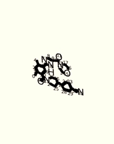 Cc1cc(C)c(-c2ncc(C(=O)N3CCOCC3)[nH]2)cc1C(=O)N1CCC(c2ccc(C#N)cc2)CC1